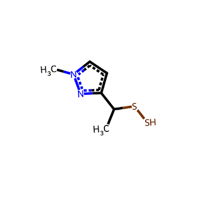 CC(SS)c1ccn(C)n1